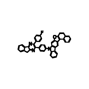 Fc1ccc(-c2nc3c(nc2-c2ccc(-n4c5ccccc5c5cc6c(cc54)oc4ccc5ccccc5c46)cc2)Cc2ccccc2-3)cc1